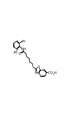 CC(C)c1cccc(C(C)C)c1NC(=O)CCCCCSc1nc2ccc(C(=O)O)cc2o1